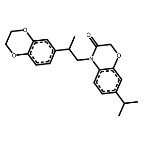 CC(C)c1ccc2c(c1)OCC(=O)N2CC(C)c1ccc2c(c1)OCCO2